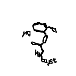 CCOC(=O)NCC(=O)Oc1ccccc1Cl.Cl